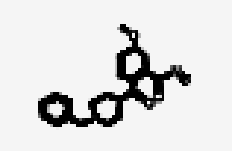 COC1C=CC(C(=O)C2CCN(Cc3ccccc3)CC2)=C(C(=O)N=O)C1